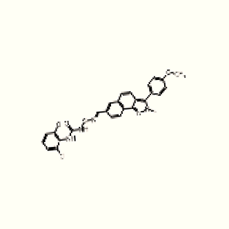 Cn1nc2c(ccc3cc(/C=N/SNC(=O)Nc4c(Cl)cccc4Cl)ccc32)c1-c1ccc(OC(F)(F)F)cc1